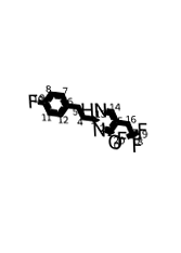 O=c1nc(CCc2ccc(F)cc2)[nH]cc1CC(F)(F)F